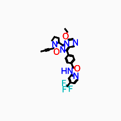 CC#CC(=O)N1CCCC1c1nc(-c2ccc(C(=O)Nc3cc(C(F)(F)F)ccn3)cc2)c2cncc(OCC)n12